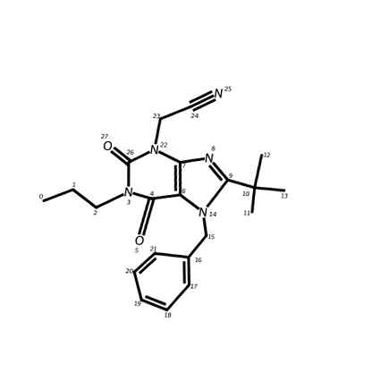 CCCn1c(=O)c2c(nc(C(C)(C)C)n2Cc2ccccc2)n(CC#N)c1=O